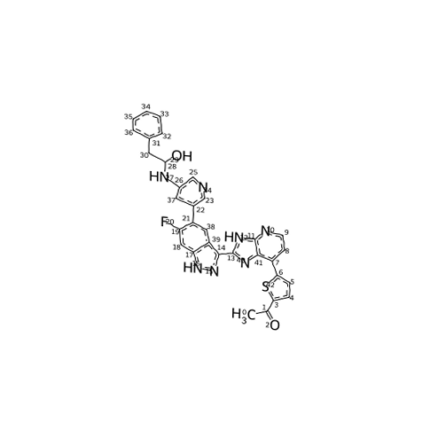 CC(=O)c1ccc(-c2ccnc3[nH]c(-c4n[nH]c5cc(F)c(-c6cncc(NC(O)Cc7ccccc7)c6)cc45)nc23)s1